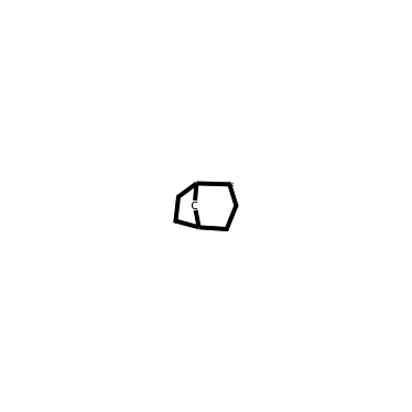 [C]1CCC2CCC1C2